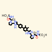 CC[C@@H](C(=O)NC(=O)O)N1CCCC1c1ncc(-c2ccc(-c3ccc(-c4cnc(C5CCCN5[C@@H](CC)C(=O)NC(=O)O)[nH]4)c(C)c3C)cc2)[nH]1